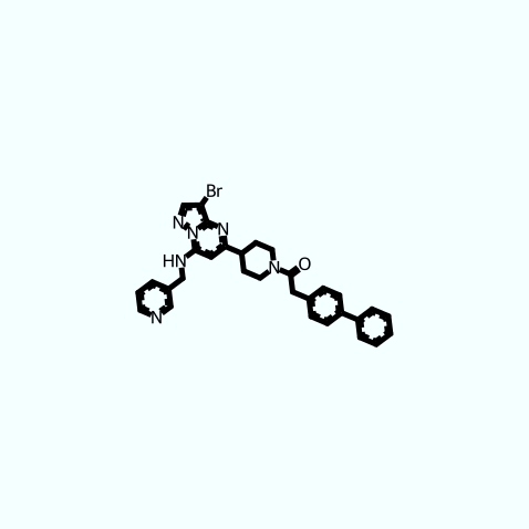 O=C(Cc1ccc(-c2ccccc2)cc1)N1CCC(c2cc(NCc3cccnc3)n3ncc(Br)c3n2)CC1